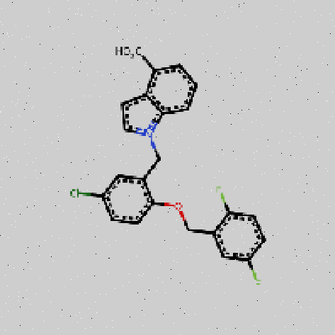 O=C(O)c1cccc2c1ccn2Cc1cc(Cl)ccc1OCc1cc(F)ccc1F